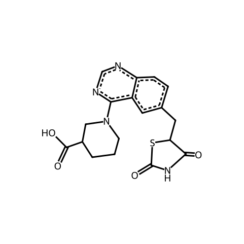 O=C1NC(=O)C(Cc2ccc3ncnc(N4CCCC(C(=O)O)C4)c3c2)S1